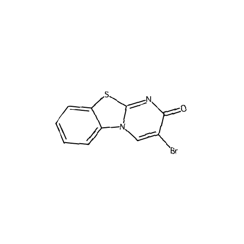 O=c1nc2sc3ccccc3n2cc1Br